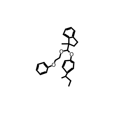 CCC(C)c1ccc(OC(OCCOc2ccccc2)C2(C)CCc3ccccc32)cc1